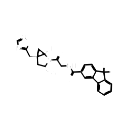 O=C(NCC(=O)N1[C@H]2C[C@@]2(Cc2ncno2)C[C@H]1C(=O)O)c1ccc2c(c1)-c1ccccc1C2(F)F